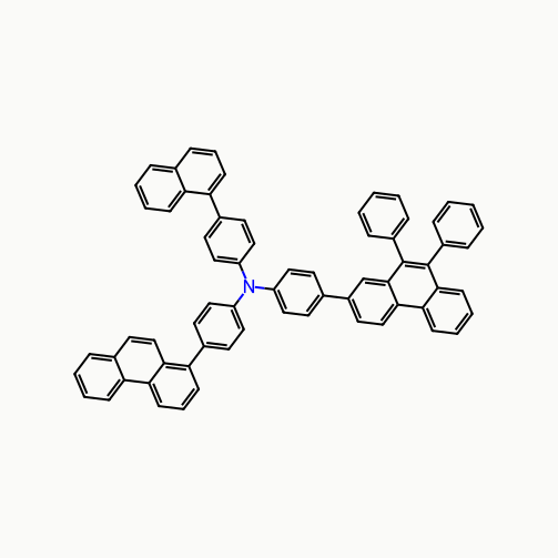 c1ccc(-c2c(-c3ccccc3)c3cc(-c4ccc(N(c5ccc(-c6cccc7ccccc67)cc5)c5ccc(-c6cccc7c6ccc6ccccc67)cc5)cc4)ccc3c3ccccc23)cc1